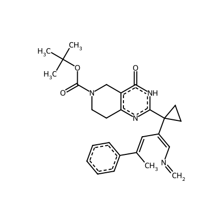 C=N/C=C(\C=C(/C)c1ccccc1)C1(c2nc3c(c(=O)[nH]2)CN(C(=O)OC(C)(C)C)CC3)CC1